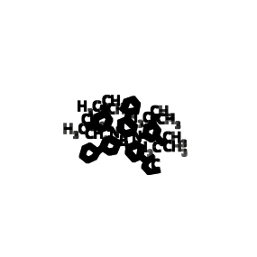 CC(C)(C)c1cc(N2c3cc(C4CCCCC4)ccc3B3c4ccc(C5CCCCC5)cc4N(c4cc(C(C)(C)C)cc(C(C)(C)C)c4)c4cc(-c5ccccc5)cc2c43)cc(C(C)(C)C)c1